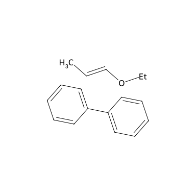 CC=COCC.c1ccc(-c2ccccc2)cc1